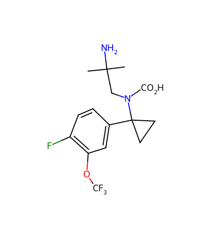 CC(C)(N)CN(C(=O)O)C1(c2ccc(F)c(OC(F)(F)F)c2)CC1